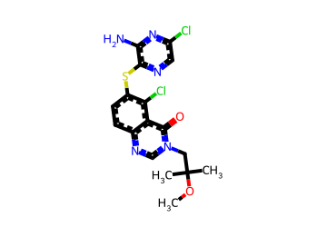 COC(C)(C)Cn1cnc2ccc(Sc3ncc(Cl)nc3N)c(Cl)c2c1=O